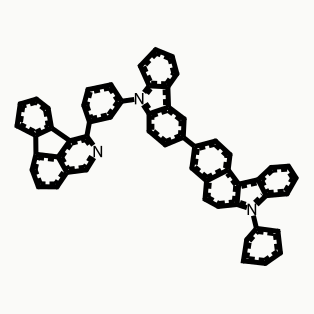 c1ccc(-n2c3ccccc3c3c4ccc(-c5ccc6c(c5)c5ccccc5n6-c5cccc(-c6ncc7cccc8c7c6-c6ccccc6-8)c5)cc4ccc32)cc1